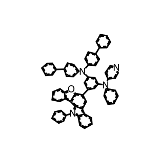 c1ccc(-c2ccc(N(c3ccc(-c4ccccc4)cc3)c3cc(-c4cc5c6ccccc6n(-c6ccccc6)c5c5c4oc4ccccc45)cc(N(c4ccccc4)c4ccncc4)c3)cc2)cc1